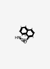 CCCc1cccc2ccccc12.N=C=O